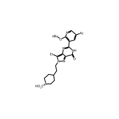 CCCCOc1ncc(C(C)=O)cc1-c1nc2c(CC)n(CCC3CCN(C(=O)O)CC3)nc2c(=O)[nH]1